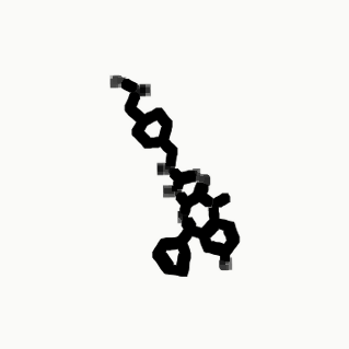 CC(C)NCC1CCC(CNC(=S)NC2N=C(c3ccccc3)c3cc(Cl)ccc3N(C)C2=O)CC1